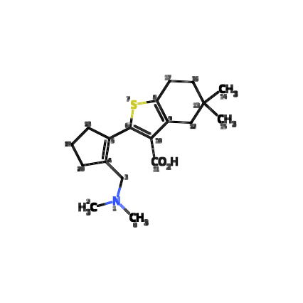 CN(C)CC1=C(c2sc3c(c2C(=O)O)CC(C)(C)CC3)CCC1